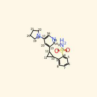 NS(=O)(=O)c1ccccc1C1CC1c1cncc(N2CCCC2)c1